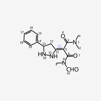 CN(C)C(=O)/C(C(=O)N(C)C=O)=C1\CC(c2ccccc2)NN1